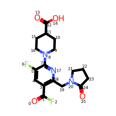 O=C(F)c1cc(F)c(N2CCC(C(=O)O)CC2)nc1CN1CCCC1=O